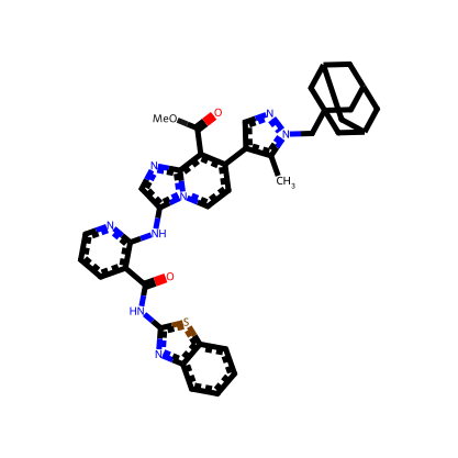 COC(=O)c1c(-c2cnn(CC34CC5CC(CC(C5)C3)C4)c2C)ccn2c(Nc3ncccc3C(=O)Nc3nc4ccccc4s3)cnc12